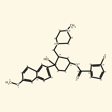 COc1ccc2cc(C3(O)CCC(OC(=O)c4cccc(Cl)c4)CC3CN3CCN(C)CC3)ccc2c1